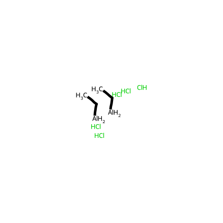 C[CH2][AlH2].C[CH2][AlH2].Cl.Cl.Cl.Cl.Cl